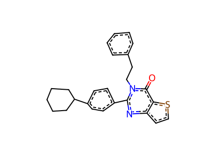 O=c1c2sccc2nc(-c2ccc(C3CCCCC3)cc2)n1CCc1ccccc1